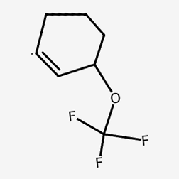 FC(F)(F)OC1C=[C]CCC1